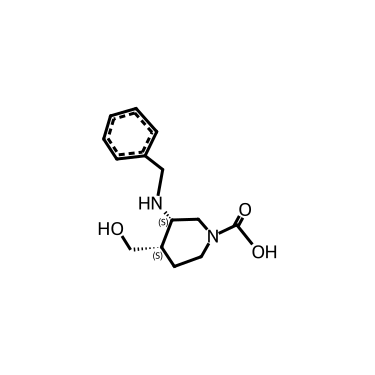 O=C(O)N1CC[C@H](CO)[C@H](NCc2ccccc2)C1